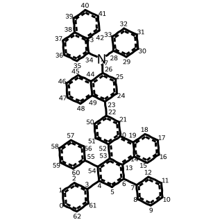 c1ccc(-c2cc(-c3ccccc3)c3c4ccccc4c4cc(-c5ccc(N(c6ccccc6)c6cccc7ccccc67)c6ccccc56)ccc4c3c2-c2ccccc2)cc1